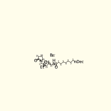 CCCCCCCCCCCCCCCCCC(=O)NCCC[N+](C)(CC)CN1CCCC1=O.[Br-]